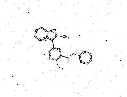 Cc1nnc(-c2c(C)[nH]c3ccccc23)nc1NCc1ccccc1